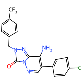 Nc1c(-c2ccc(Cl)cc2)cnn2c(=O)n(Cc3ccc(C(F)(F)F)cc3)nc12